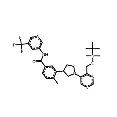 Cc1ccc(C(=O)Nc2cncc(C(F)(F)F)c2)cc1C1CCN(c2cncnc2CO[Si](C)(C)C(C)(C)C)C1